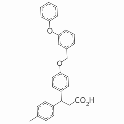 Cc1ccc(C(CC(=O)O)c2ccc(OCc3cccc(Oc4ccccc4)c3)cc2)cc1